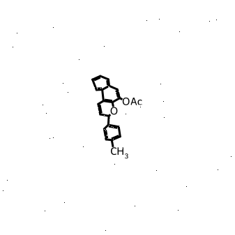 CC(=O)Oc1cc2ccccc2c2c1OC(c1ccc(C)cc1)C=C2